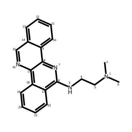 CN(C)CCNc1nc2c3ccccc3cnc2c2ccccc12